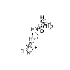 CC(C)(C)OC(=O)NC1CCC(CNc2nc(Cl)ncc2F)CC1